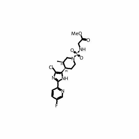 COC(=O)CNS(=O)(=O)N1CC[C@@H](c2[nH]c(-c3ccc(F)cn3)nc2Cl)[C@@H](C)C1